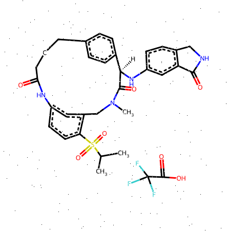 CC(C)S(=O)(=O)c1ccc2cc1CN(C)C(=O)[C@H](Nc1ccc3c(c1)C(=O)NC3)c1ccc(cc1)CCCC(=O)N2.O=C(O)C(F)(F)F